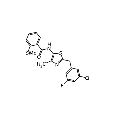 CSc1ccccc1C(=O)Nc1sc(Cc2cc(F)cc(Cl)c2)nc1C